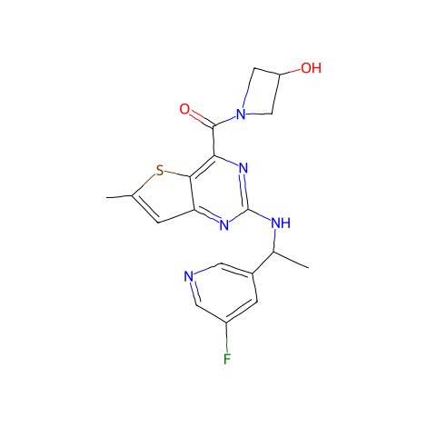 Cc1cc2nc(NC(C)c3cncc(F)c3)nc(C(=O)N3CC(O)C3)c2s1